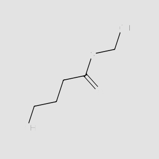 C[CH]SC(=O)CCCC